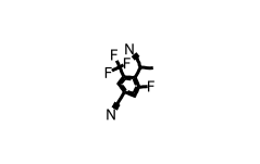 CC(C#N)c1c(F)cc(C#N)cc1C(F)(F)F